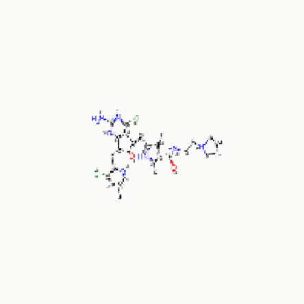 Cc1cnc(CC2C(=O)/C(=C\c3[nH]c(C)c(C(=O)NCCN4CCCC4)c3C)c3c(Cl)nc(N)nc32)c(Cl)c1